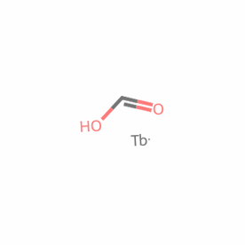 O=CO.[Tb]